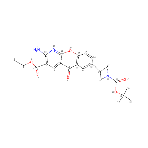 CCOC(=O)c1cc2c(=O)c3cc(C4CN(C(=O)OC(C)(C)C)C4)ccc3oc2nc1N